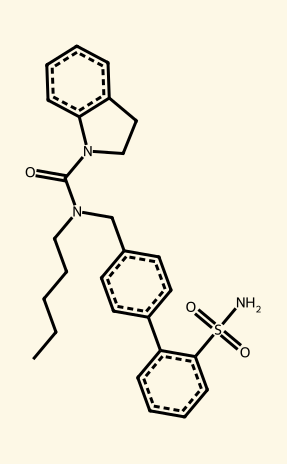 CCCCCN(Cc1ccc(-c2ccccc2S(N)(=O)=O)cc1)C(=O)N1CCc2ccccc21